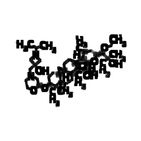 CCO[C@@H]([C@H]1C[C@@H](C)[C@H]2[C@H](O1)[C@H](O)[C@@]1(C)[C@@H]3CC[C@H]4C(C)(C)[C@@H](O[C@H]5CN(CC6(O)CN(C(C)C)C6)CCO5)CC[C@@]45C[C@@]35CC[C@]21C)C(C)(C)O